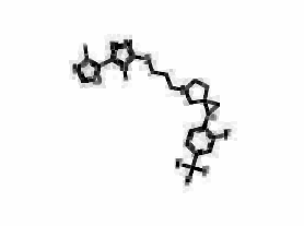 Cc1ncoc1-c1nnc(SCCCN2CCC3(C[C@H]3c3ccc(C(F)(F)F)cc3F)C2)n1C